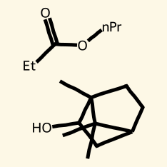 CC1(C)C2CCC1(C)C(O)C2.CCCOC(=O)CC